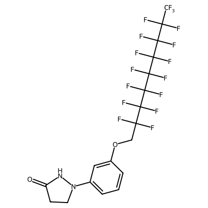 O=C1CCN(c2cccc(OCC(F)(F)C(F)(F)C(F)(F)C(F)(F)C(F)(F)C(F)(F)C(F)(F)C(F)(F)F)c2)N1